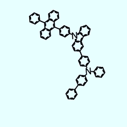 c1ccc(-c2ccc(N(c3ccccc3)c3ccc(-c4ccc5c(c4)c4ccccc4n5-c4ccc(-c5c6ccccc6c(-c6ccccc6)c6ccccc56)cc4)cc3)cc2)cc1